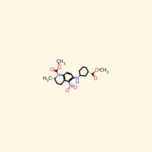 COC(=O)[C@H]1CCC[C@H](Nc2ccc3c(c2[N+](=O)[O-])CC[C@H](C)N3C(=O)OC)C1